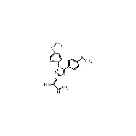 CNC(N)=S.COc1ccc(-c2ncnn2-c2ccc(OC)cc2)cc1